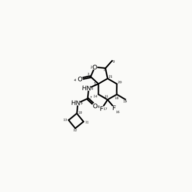 CC1OC(=O)C2(NC(=O)NC3CCC3)CC(F)(F)C(C)CC12